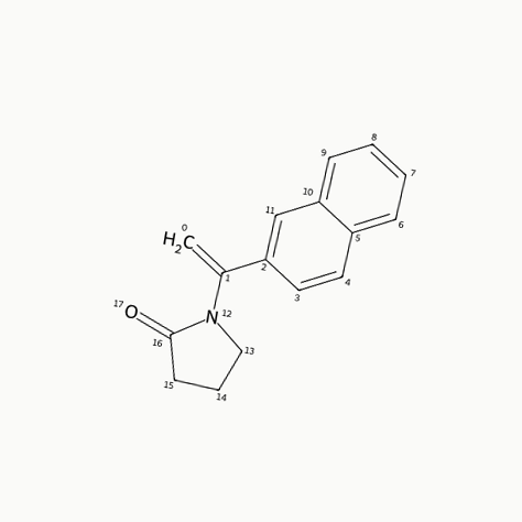 C=C(c1ccc2ccccc2c1)N1CCCC1=O